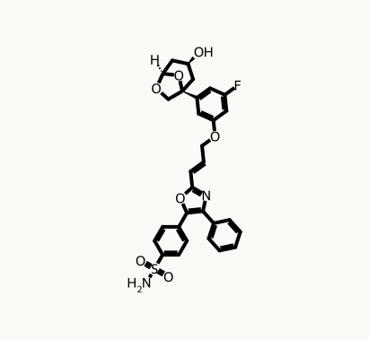 NS(=O)(=O)c1ccc(-c2oc(/C=C/COc3cc(F)cc([C@]45CO[C@@H](C[C@@H](O)C4)O5)c3)nc2-c2ccccc2)cc1